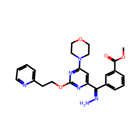 COC(=O)c1cccc(C(=NN)c2cc(N3CCOCC3)nc(OCCc3ccccn3)n2)c1